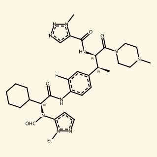 CCn1nccc1N(C=O)[C@H](C(=O)Nc1ccc([C@H](C)[C@@H](NC(=O)c2cnnn2C)C(=O)N2CCN(C)CC2)cc1F)C1CCCCC1